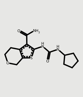 NC(=O)c1c(NC(=O)NC2CCCC2)sc2c1CCOC2